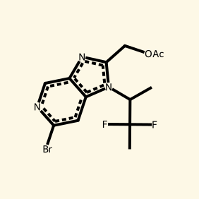 CC(=O)OCc1nc2cnc(Br)cc2n1C(C)C(C)(F)F